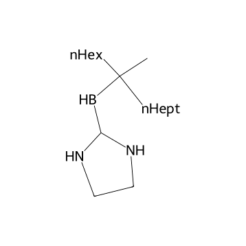 CCCCCCCC(C)(BC1NCCN1)CCCCCC